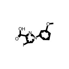 COc1cccc(-n2cc(I)c(C(=O)O)n2)c1